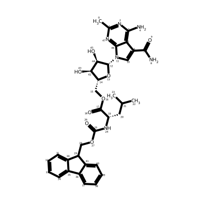 Cc1nc(N)c2c(C(N)=O)cn([C@@H]3O[C@H](COC(=O)[C@H](CC(C)C)NC(=O)OCC4c5ccccc5-c5ccccc54)[C@@H](O)[C@H]3O)c2n1